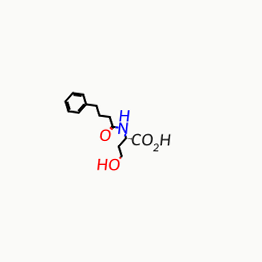 O=C(CCCc1ccccc1)N[C@@H](CCO)C(=O)O